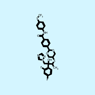 CC(SC1COC(c2ccc(C(=O)Nc3ccc(SC(F)(F)F)cc3)cc2)OC1)C(O)(Cn1cncn1)c1ccc(F)cc1F